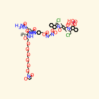 CC(C)[C@H](NC(=O)CCOCCOCCOCCOCCOCCOCCN1C(=O)C=CC1=O)C(=O)N[C@@H](CCCNC(N)=O)C(=O)Nc1ccc(COC(=O)N(C)CCN(C)C(=O)Oc2cc3c(c4ccccc24)[C@H](CCl)CN3C(=O)C23C(C)C2C2(C(=O)N4CC(CCl)c5c4cc(OP(=O)(O)O)c4ccccc54)C(C)C23)cc1